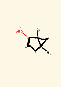 CC[C@@]12C[C@@H]1CC[C@@H]2O